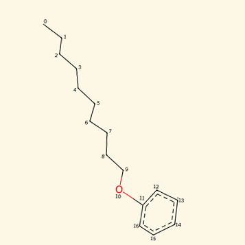 CCCCCCCCCCOc1c[c]ccc1